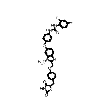 Cn1c(COc2ccc(CC3SC(=O)NC3=O)cc2)nc2ccc(Oc3ccc(NC(=O)Nc4ccc(F)cc4F)cc3)cc21